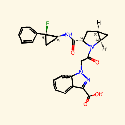 O=C(O)c1nn(CC(=O)N2[C@@H]3C[C@@H]3C[C@H]2C(=O)N[C@H]2C[C@]2(F)c2ccccc2)c2ccccc12